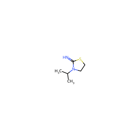 CC(C)N1CCSC1=N